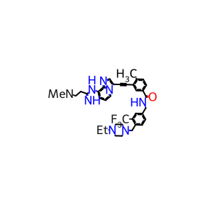 CCN1CCN(Cc2ccc(CNC(=O)c3ccc(C)c(C#Cc4cnc5c(NC(=N)CCNC)cccn45)c3)cc2C(F)(F)F)CC1